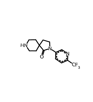 O=C1N(c2ccc(C(F)(F)F)nc2)CCC12CCNCC2